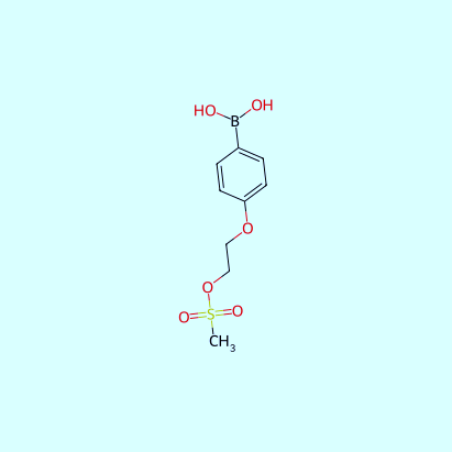 CS(=O)(=O)OCCOc1ccc(B(O)O)cc1